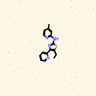 CCc1sc(Nc2cc(C)ccn2)nc1-c1ccccn1